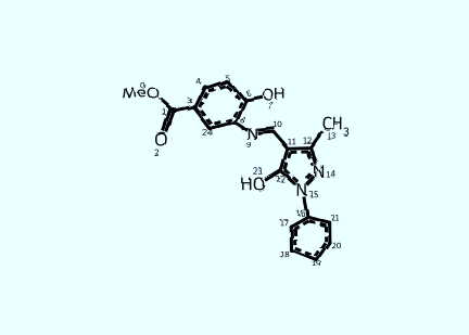 COC(=O)c1ccc(O)c(/N=C/c2c(C)nn(-c3ccccc3)c2O)c1